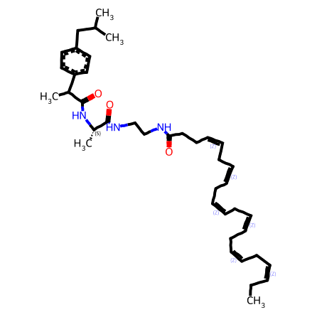 CC/C=C\C/C=C\C/C=C\C/C=C\C/C=C\C/C=C\CCC(=O)NCCNC(=O)[C@H](C)NC(=O)C(C)c1ccc(CC(C)C)cc1